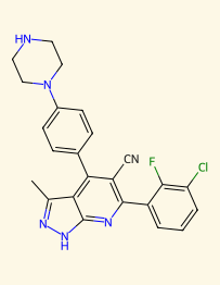 Cc1n[nH]c2nc(-c3cccc(Cl)c3F)c(C#N)c(-c3ccc(N4CCNCC4)cc3)c12